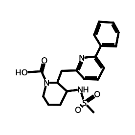 CS(=O)(=O)NC1CCCN(C(=O)O)C1Cc1cccc(-c2ccccc2)n1